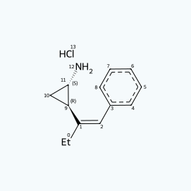 CCC(=Cc1ccccc1)[C@H]1C[C@@H]1N.Cl